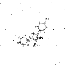 CCc1[nH]c(-c2ccc(F)cc2)nc1-c1cccnc1